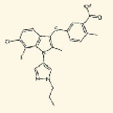 CCCn1cc(-n2c(C)c(Sc3ccc(C)c(C(=O)O)c3)c3ccc(Cl)c(F)c32)cn1